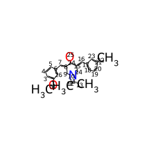 COc1cccc(/C=C2\CN(C(C)C)C/C(=C\c3cccc(C)c3)C2=O)c1